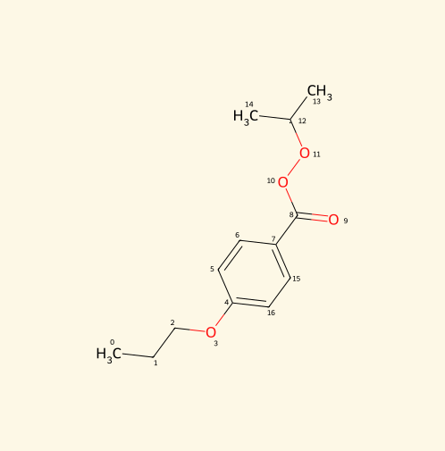 CCCOc1ccc(C(=O)OO[C](C)C)cc1